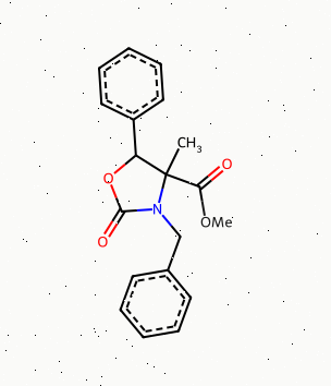 COC(=O)C1(C)C(c2ccccc2)OC(=O)N1Cc1ccccc1